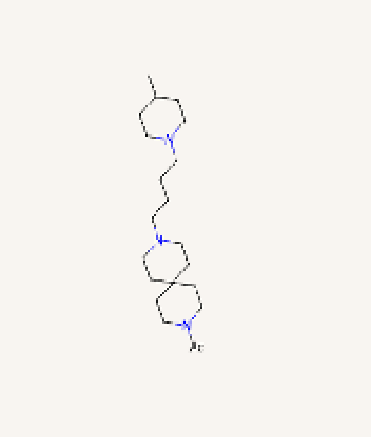 CC(=O)N1CCC2(CCN(CCCCN3CCC(C)CC3)CC2)CC1